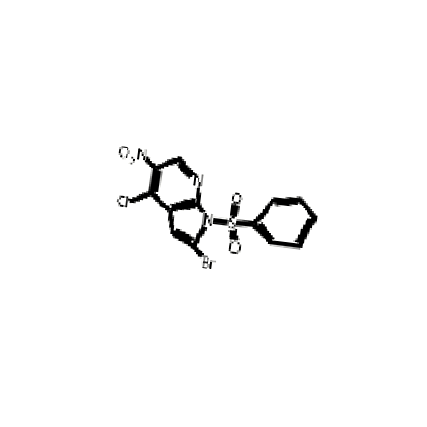 O=[N+]([O-])c1cnc2c(cc(Br)n2S(=O)(=O)c2ccccc2)c1Cl